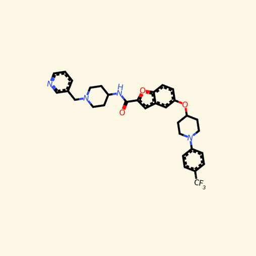 O=C(NC1CCN(Cc2cccnc2)CC1)c1cc2cc(OC3CCN(c4ccc(C(F)(F)F)cc4)CC3)ccc2o1